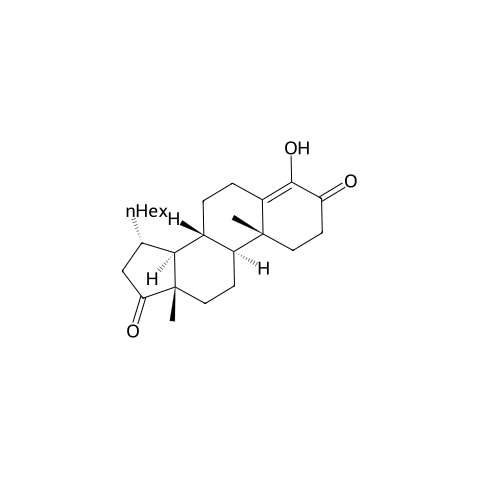 CCCCCC[C@H]1CC(=O)[C@@]2(C)CC[C@H]3[C@@H](CCC4=C(O)C(=O)CC[C@@]43C)[C@H]12